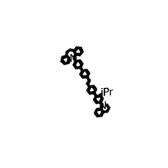 CC(C)c1cc(N2CCCc3ccccc32)ccc1-c1ccc(/C=C/c2ccc(C3C=CC(N4c5ccccc5CCc5ccccc54)=CC3)cc2)cc1